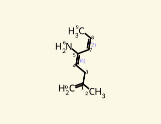 C=C(C)C/C=C(N)\C=C/C